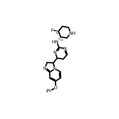 CC(C)OC1=CC2=NCC(C3CC=NC(N[C@H]4CNCC[C@@H]4F)=N3)N2C=C1